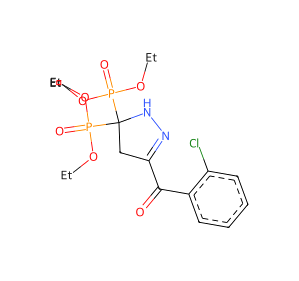 CCOP(=O)(OCC)C1(P(=O)(OCC)OCC)CC(C(=O)c2ccccc2Cl)=NN1